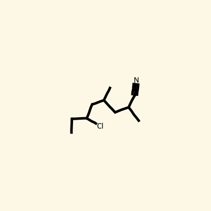 CCC(Cl)CC(C)CC(C)C#N